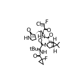 CC(C)(C)[C@H](NC(=O)C1(F)CC1)C(=O)N1C[C@H]2[C@@H]([C@H]1C(=O)NN(C[C@@H]1CCNC1=O)C(=O)[C@@H](F)Cl)C2(C)C